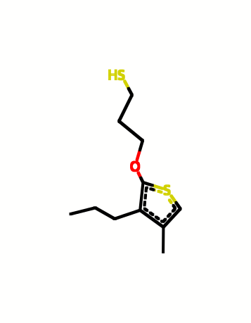 CCCc1c(C)csc1OCCCS